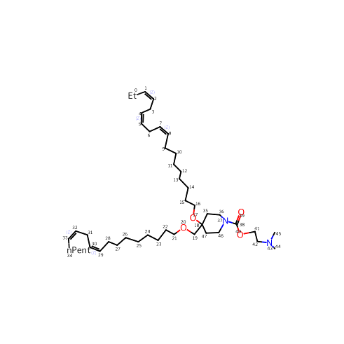 CC/C=C\C/C=C\C/C=C\CCCCCCCCOC1(COCCCCCCCC/C=C\C/C=C\CCCCC)CCN(C(=O)OCCN(C)C)CC1